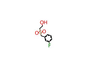 O=S(=O)(CCO)Cc1cccc(F)c1